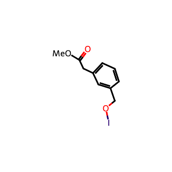 COC(=O)Cc1cccc(COI)c1